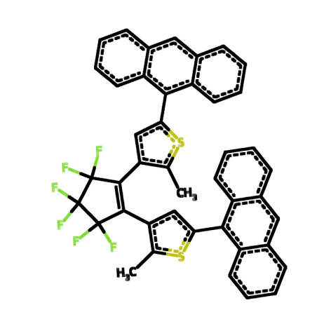 Cc1sc(-c2c3ccccc3cc3ccccc23)cc1C1=C(c2cc(-c3c4ccccc4cc4ccccc34)sc2C)C(F)(F)C(F)(F)C1(F)F